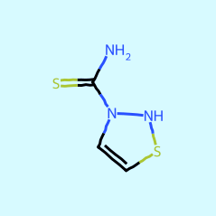 NC(=S)N1C=CSN1